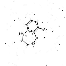 Brc1cccc2c1COCCN2